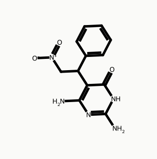 Nc1nc(N)c(C(C[N+](=O)[O-])c2ccccc2)c(=O)[nH]1